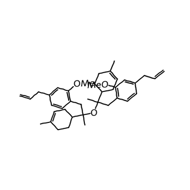 C=CCc1ccc(CC(C)(OC(C)(Cc2ccc(CC=C)cc2OC)C2CC=C(C)CC2)C2CC=C(C)CC2)c(OC)c1